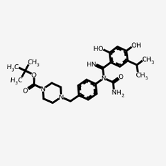 CC(C)c1cc(C(=N)N(C(N)=O)c2ccc(CN3CCN(C(=O)OC(C)(C)C)CC3)cc2)c(O)cc1O